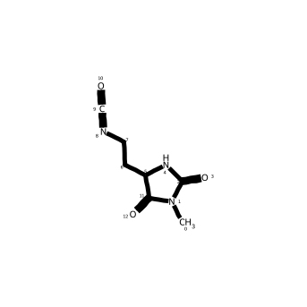 CN1C(=O)NC(CCN=C=O)C1=O